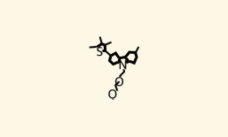 COCCOCCn1c2ccc(C)cc2c2cc(-c3sc(C)c(C)c3C)ccc21